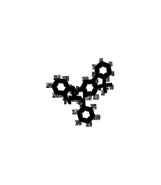 CC1(C)c2ccccc2-c2cc3c(cc21)n(-c1ccccc1)c1nc2ccccc2n31